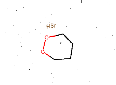 Br.C1CCOOC1